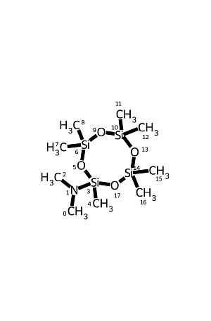 CN(C)[Si]1(C)O[Si](C)(C)O[Si](C)(C)O[Si](C)(C)O1